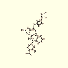 CC(C)c1ccc([C@@H](NC(=O)[C@@H]2C[C@@H](F)CN2C(=O)Cn2cc(N3CCC3)cn2)c2ccccc2)nc1F